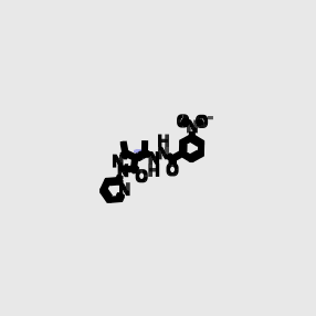 CC1=NN(c2ccccn2)C(=O)/C1=C(/C)NNC(=O)c1cccc([N+](=O)[O-])c1